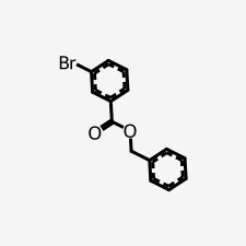 O=C(OCc1ccccc1)c1cccc(Br)c1